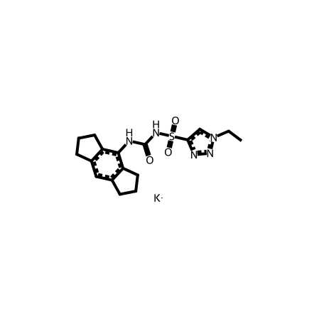 CCn1cc(S(=O)(=O)NC(=O)Nc2c3c(cc4c2CCC4)CCC3)nn1.[K]